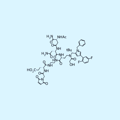 CC(=O)N[C@H](CC(=O)N[C@@H](CC(N)=O)C(=O)N[C@@H](CCN(C(=O)CO)[C@@H](c1cc(-c2cc(F)ccc2F)cn1Cc1ccccc1)C(C)(C)C)C(=O)NCCNC(=O)[C@@H](CCC(=O)O)NC(=O)CN1C(=O)C=CC1=O)C(N)=O